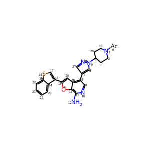 CC(=O)N1CCC(n2cc(-c3cnc(N)c4oc(-c5csc6ccccc56)cc34)cn2)CC1